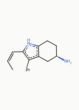 C/C=C\c1[nH]c2c(c1C(C)C)C[C@H](N)CC2